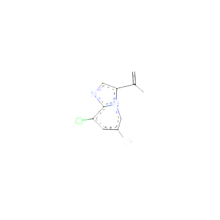 C=C(C)c1cnc2c(Cl)cc(C(F)(F)F)cn12